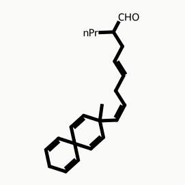 CCCC(C=O)C/C=C/C/C=C\C1(C)C=CC2(C=CCC=C2)C=C1